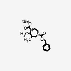 CC1CN(C(=O)OCc2ccccc2)CCN(C(=O)OC(C)(C)C)[C@@H]1C